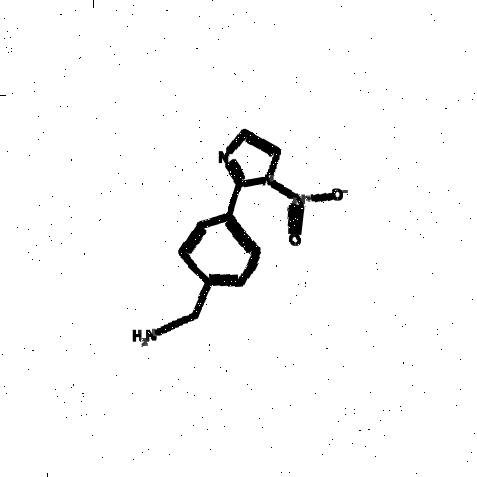 NCc1ccc(-c2nccn2[N+](=O)[O-])cc1